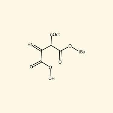 CCCCCCCCC(C(=N)C(=O)OO)C(=O)OC(C)(C)C